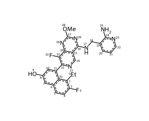 CCc1c(F)ccc2cc(O)cc(-c3ncc4c(NCc5cccnc5N)nc(OC)nc4c3F)c12